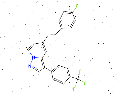 Fc1ccc(CCc2ccn3ncc(-c4ccc(C(F)(F)F)cc4)c3c2)cc1